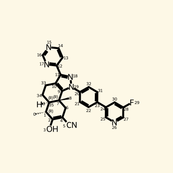 C[C@H]1C(O)=C(C#N)C[C@@]2(C)c3c(c(-c4ccncn4)nn3-c3ccc(-c4cncc(F)c4)cc3)CC[C@H]12